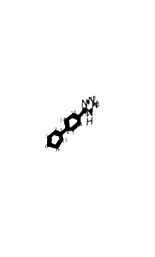 [c]1ccc(-c2ccc(-c3nnn[nH]3)cc2)cc1